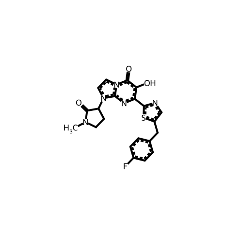 CN1CCC(n2ccn3c(=O)c(O)c(-c4ncc(Cc5ccc(F)cc5)s4)nc23)C1=O